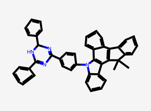 CC1(C)c2ccccc2-c2c1c1c3ccccc3n(-c3ccc(C4=NC(c5ccccc5)NC(c5ccccc5)=N4)cc3)c1c1ccccc21